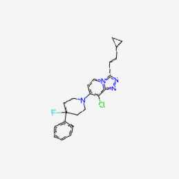 FC1(c2ccccc2)CCN(c2ccn3c(CCC4CC4)nnc3c2Cl)CC1